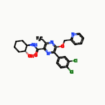 O=C(N[C@@H]1CCCC[C@H]1O)c1nc(-c2ccc(Cl)c(Cl)c2)c(OCc2ccccn2)nc1C(F)(F)F